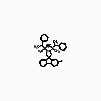 CC(c1ccccc1)[Si](C)(C)OCC1(CO[Si](C)(C)C(C)c2ccccc2)c2ccccc2-c2ccc(F)cc21